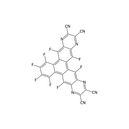 N#Cc1nc2c(F)c3c4c(F)c(F)c(F)c(F)c4c4c(F)c5nc(C#N)c(C#N)nc5c(F)c4c3c(F)c2nc1C#N